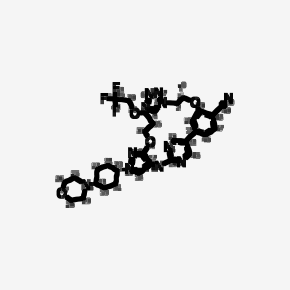 C[C@@H](Cn1cnnn1)Oc1cc(-c2cnc(Nc3cn([C@H]4CC[C@H](N5CCOCC5)CC4)nc3OCCCOCC(F)(F)F)nc2)ccc1C#N